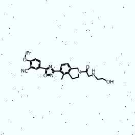 Cc1c(-c2noc(-c3ccc(OC(C)C)c(C#N)c3)n2)ccc2c1CCN(C(=O)CNCCO)C2